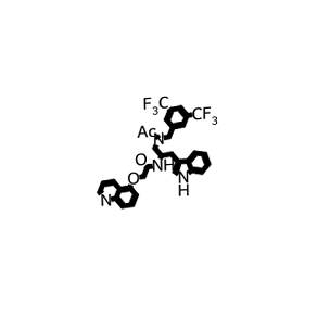 CC(=O)N(Cc1cc(C(F)(F)F)cc(C(F)(F)F)c1)CC(Cc1c[nH]c2ccccc12)NC(=O)COc1cccc2ncccc12